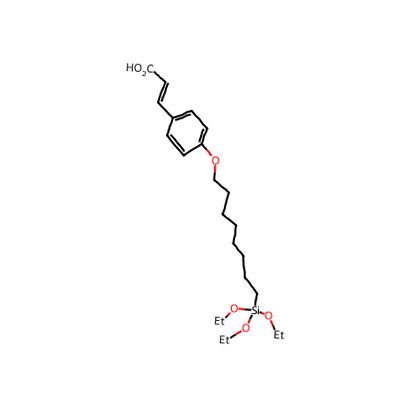 CCO[Si](CCCCCCCCOc1ccc(C=CC(=O)O)cc1)(OCC)OCC